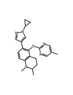 Cc1cnc(Oc2c(-c3cnn(C4CC4)c3)ccc3c2CCC(C)N3C)nc1